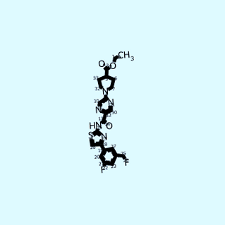 CCOC(=O)C1CCN(c2cnc(C(=O)Nc3nc(-c4cc(F)cc(CF)c4)cs3)cn2)CC1